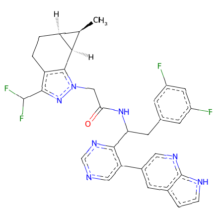 C[C@@H]1[C@@H]2CCc3c(C(F)F)nn(CC(=O)NC(Cc4cc(F)cc(F)c4)c4ncncc4-c4cnc5[nH]ccc5c4)c3[C@H]12